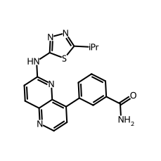 CC(C)c1nnc(Nc2ccc3nccc(-c4cccc(C(N)=O)c4)c3n2)s1